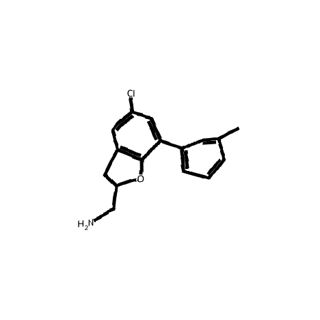 Cc1cccc(-c2cc(Cl)cc3c2OC(CN)C3)c1